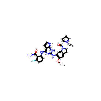 COc1cc2c(cc1Nc1nc(Nc3cccc(F)c3C(N)=O)c3ccnc-3[nH]1)N(C(=O)[C@@H]1CCCN1C)CC2